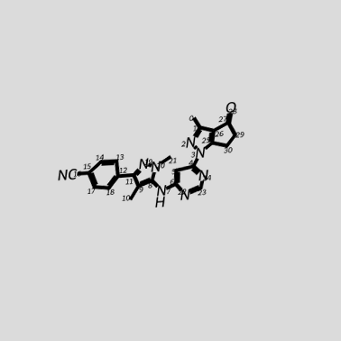 Cc1nn(-c2cc(Nc3c(C)c(-c4ccc(C#N)cc4)nn3C)ncn2)c2c1C(=O)CC2